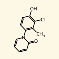 Cc1c(-n2ccccc2=O)ccc(O)c1Cl